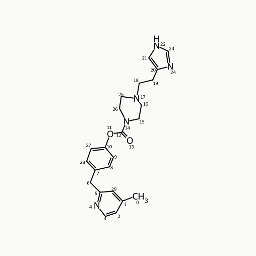 Cc1ccnc(Cc2ccc(OC(=O)N3CCN(CCc4c[nH]cn4)CC3)cc2)c1